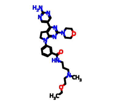 CCOCCN(C)CCCNC(=O)c1cccc(N2CCc3c(-c4cnc(N)nc4)nc(N4CCOCC4)nc32)c1